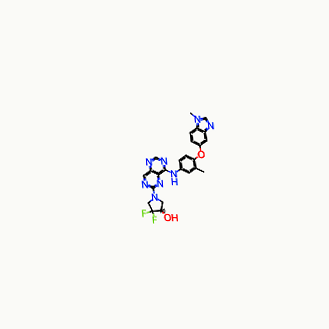 Cc1cc(Nc2ncnc3cnc(N4C[C@@H](O)C(F)(F)C4)nc23)ccc1Oc1ccc2c(c1)ncn2C